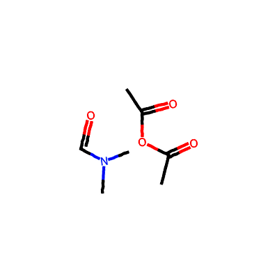 CC(=O)OC(C)=O.CN(C)C=O